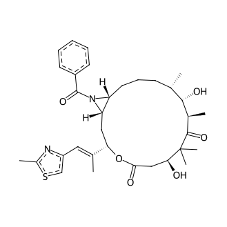 CC(=Cc1csc(C)n1)[C@@H]1C[C@H]2[C@@H](CCC[C@H](C)[C@H](O)[C@@H](C)C(=O)C(C)(C)[C@@H](O)CC(=O)O1)N2C(=O)c1ccccc1